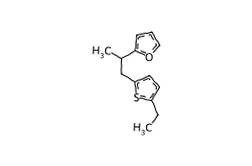 CCc1ccc(CC(C)c2ccco2)s1